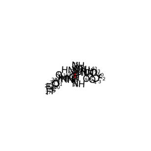 CC1(C)CCOc2c(C(=O)NC3CN4C(=N)NC(CNC(=O)c5ccc(C(F)(F)F)cc5)C5NC(=N)NC54C3(O)O)cccc21